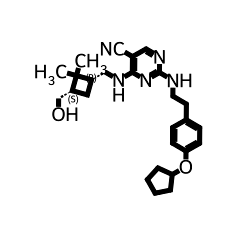 CC1(C)[C@H](CNc2nc(NCCc3ccc(OC4CCCC4)cc3)ncc2C#N)C[C@@H]1CO